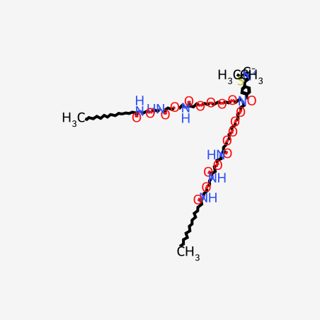 [C-]#[N+]C=C(SC(C)C)c1ccc(C(=O)N(CCOCCOCCOCCOCCC(=O)NCCOCCC(=O)NCCOCCNC(=O)CCCCCCCCCCCCCCC)CCOCCOCCOCCOCCC(=O)NCCOCCC(=O)NCCOCCNC(=O)CCCCCCCCCCCCCCC)cc1